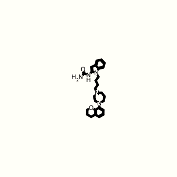 NC(=O)Nc1cc2ccccc2n1CCCCN1CCCN(c2cccc3c2OCCC3)CC1